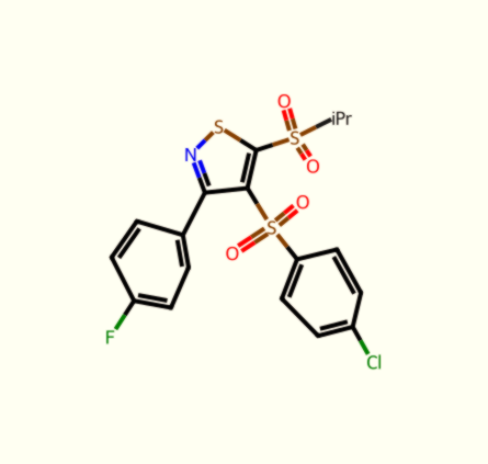 CC(C)S(=O)(=O)c1snc(-c2ccc(F)cc2)c1S(=O)(=O)c1ccc(Cl)cc1